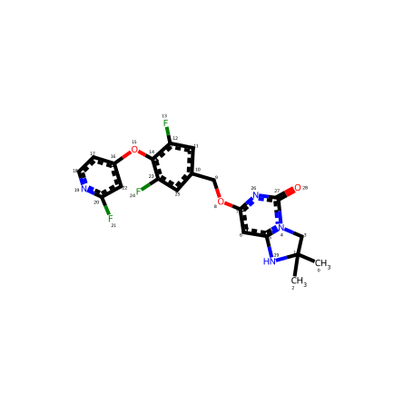 CC1(C)Cn2c(cc(OCc3cc(F)c(Oc4ccnc(F)c4)c(F)c3)nc2=O)N1